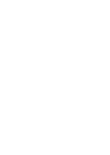 CCCCCCCCCC[O]